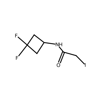 O=C(CI)NC1CC(F)(F)C1